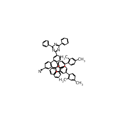 Cc1ccc(-c2ccc3c(c2)c2ccccc2n3-c2ccc(-c3nc(-c4ccccc4)nc(-c4ccccc4)n3)cc2-c2ccc(C#N)cc2-n2c3ccccc3c3cc(-c4ccc(C)cc4C)ccc32)c(C)c1